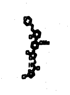 COc1cc(N2C[C@H](CNC(=O)c3ccc(Cl)s3)OC2=O)ccc1-n1cccc(CCN2CCOCC2)c1=O